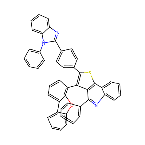 c1ccc(-c2nc3ccccc3c3sc(-c4ccc(-c5nc6ccccc6n5-c5ccccc5)cc4)c(-c4cccc5c4oc4ccccc45)c23)cc1